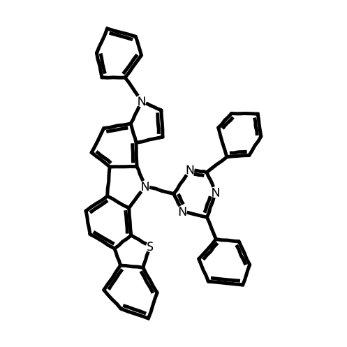 c1ccc(-c2nc(-c3ccccc3)nc(-n3c4c(ccc5c4ccn5-c4ccccc4)c4ccc5c6ccccc6sc5c43)n2)cc1